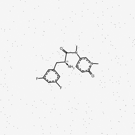 CN(C(=O)[C@@H](N)Cc1cc(F)cc(F)c1)c1ccc(=O)n(C)c1